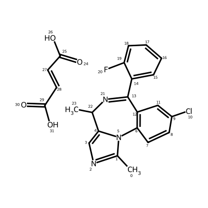 Cc1ncc2n1-c1ccc(Cl)cc1C(c1ccccc1F)=NC2C.O=C(O)C=CC(=O)O